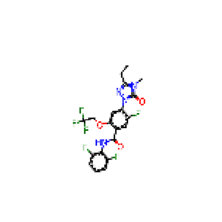 CCc1nn(-c2cc(OCC(F)(F)F)c(C(=O)Nc3c(F)cccc3F)cc2F)c(=O)n1C